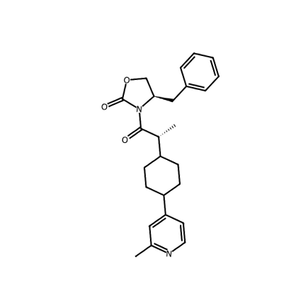 Cc1cc(C2CCC([C@@H](C)C(=O)N3C(=O)OC[C@H]3Cc3ccccc3)CC2)ccn1